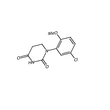 COc1ccc(Cl)cc1N1CCC(=O)NC1=O